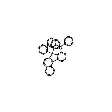 c1ccc(N(c2ccccc2)c2cccc3c2C(c2ccccc2)(c2ccccc2)c2ccc4ccccc4c2-3)cc1